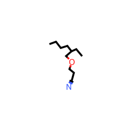 CCCCC(CC)COCCC#N